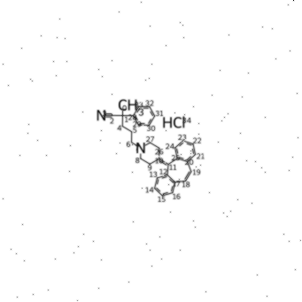 CC(C#N)(CCCN1CCC(=C2c3ccccc3C=Cc3ccccc32)CC1)c1ccccc1.Cl